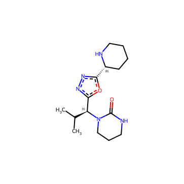 CC(C)[C@@H](c1nnc([C@H]2CCCCN2)o1)N1CCCNC1=O